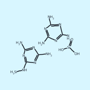 Nc1nc(N)nc(N)n1.Nc1nc(N)nc(N[SiH3])n1.O=[Si](O)O